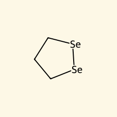 C1C[Se][Se]C1